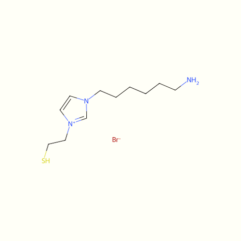 NCCCCCCn1cc[n+](CCS)c1.[Br-]